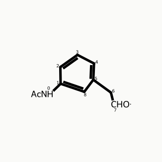 CC(=O)Nc1cccc(C[C]=O)c1